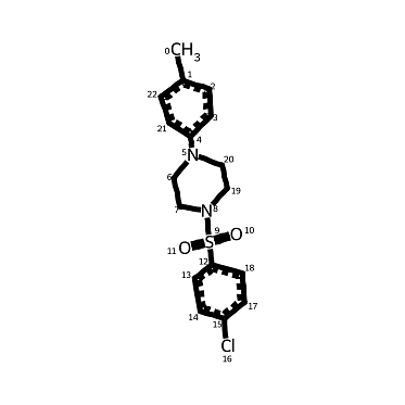 Cc1ccc(N2CCN(S(=O)(=O)c3ccc(Cl)cc3)CC2)cc1